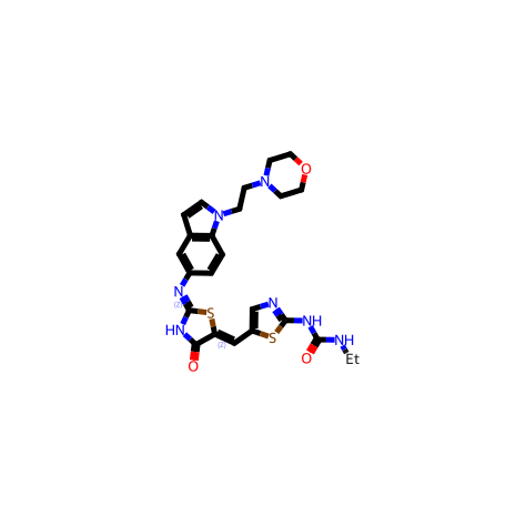 CCNC(=O)Nc1ncc(/C=C2\S/C(=N\c3ccc4c(ccn4CCN4CCOCC4)c3)NC2=O)s1